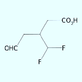 O=CCC(CC(=O)O)C(F)F